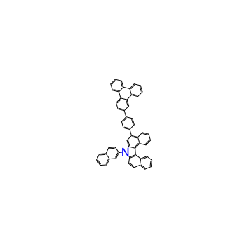 c1ccc2cc(-n3c4ccc5ccccc5c4c4c5ccccc5c(-c5ccc(-c6ccc7c8ccccc8c8ccccc8c7c6)cc5)cc43)ccc2c1